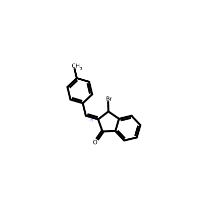 Cc1ccc(/C=C2/C(=O)c3ccccc3C2Br)cc1